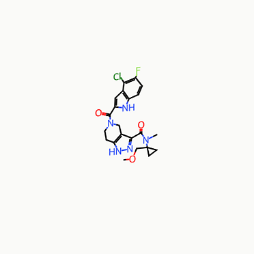 COCC1(N(C)C(=O)c2n[nH]c3c2CN(C(=O)c2cc4c(Cl)c(F)ccc4[nH]2)CC3)CC1